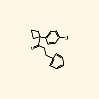 O=C(CCc1ccccc1)C1(c2ccc(Cl)cc2)CCC1